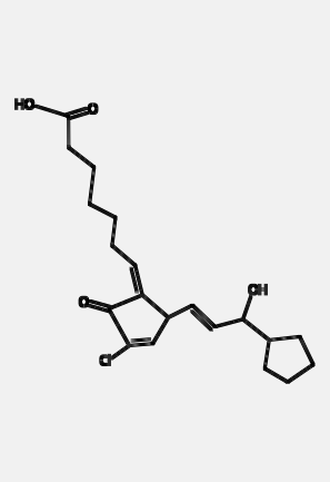 O=C(O)CCCCC/C=C1\C(=O)C(Cl)=CC1/C=C/C(O)C1CCCC1